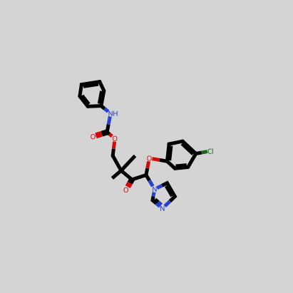 CC(C)(COC(=O)Nc1ccccc1)C(=O)C(Oc1ccc(Cl)cc1)n1ccnc1